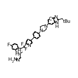 CC(C)(C)Cc1nc2ccc(N3CCN(c4ccc(-c5ccc(C(F)(F)[C@H](CN/C=N\N)c6ccc(F)cc6F)nc5)cc4)CC3)cc2[nH]1